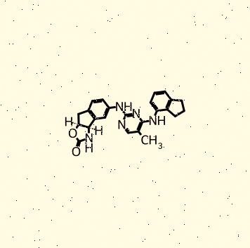 Cc1cnc(Nc2ccc3c(c2)[C@H]2NC(=O)O[C@H]2C3)nc1Nc1cccc2c1CCC2